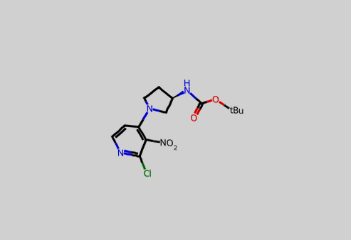 CC(C)(C)OC(=O)N[C@@H]1CCN(c2ccnc(Cl)c2[N+](=O)[O-])C1